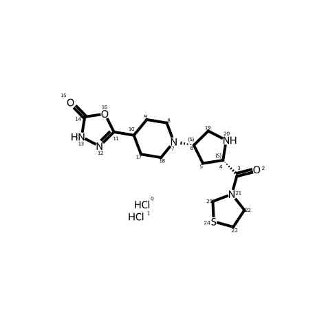 Cl.Cl.O=C([C@@H]1C[C@H](N2CCC(c3n[nH]c(=O)o3)CC2)CN1)N1CCSC1